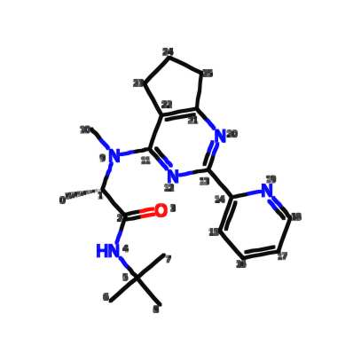 C[C@@H](C(=O)NC(C)(C)C)N(C)c1nc(-c2ccccn2)nc2c1CCC2